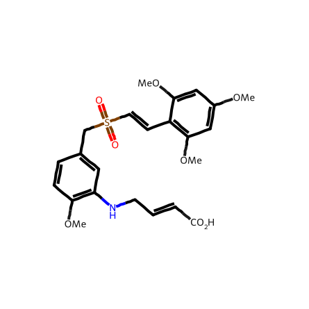 COc1cc(OC)c(C=CS(=O)(=O)Cc2ccc(OC)c(NCC=CC(=O)O)c2)c(OC)c1